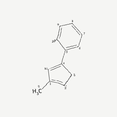 CC1=[C]CC(c2ccccc2)=C1